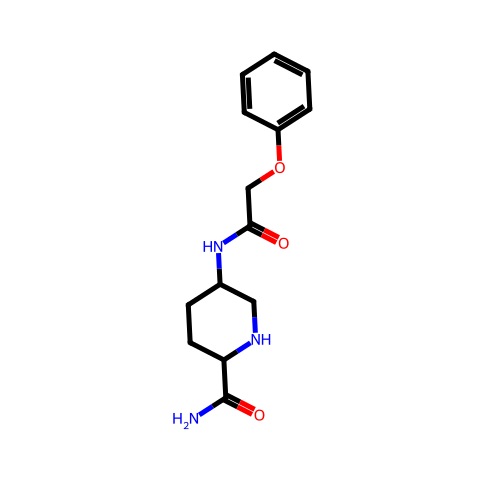 NC(=O)C1CCC(NC(=O)COc2ccccc2)CN1